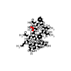 CC[C@H](C)[C@H](NC(=O)[C@H](Cc1ccc(O)cc1)NC(=O)[C@@H](N)[C@@H](C)O)C(=O)N[C@@H](Cc1ccccc1)C(=O)N[C@@H](CCC(=O)O)C(=O)N[C@H](C(=O)N[C@@H](CCC(=O)O)C(=O)N[C@@H](CC(=O)O)C(=O)N[C@@H](CCC(N)=O)C(=O)N[C@@H](CCCCN)C(=O)N[C@@H](CCC(=O)O)C(=O)N[C@@H](CCC(=O)O)C(=O)N[C@@H](CC(=O)O)C(=O)N[C@@H](CC(=O)O)C(=O)O)C(C)C